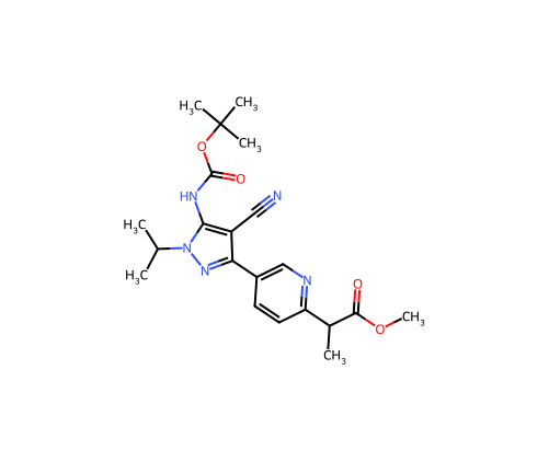 COC(=O)C(C)c1ccc(-c2nn(C(C)C)c(NC(=O)OC(C)(C)C)c2C#N)cn1